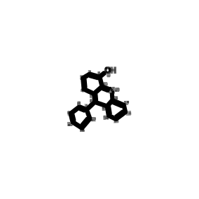 Oc1cccc2c(-c3ccccc3)c3ccccc3nc12